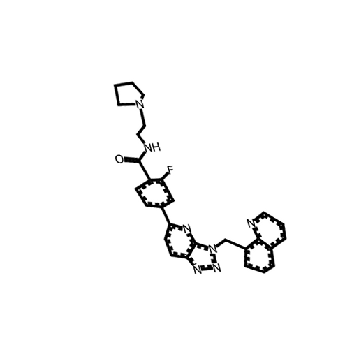 O=C(NCCN1CCCC1)c1ccc(-c2ccc3nnn(Cc4cccc5cccnc45)c3n2)cc1F